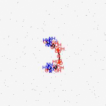 C[n+]1cn([C@@H]2O[C@H](COP(=O)(O)OCCOCCOP(=O)(O)OC[C@@H]3O[C@H](n4c[n+](C)c5c(=O)[nH]c(N)nc54)C(O)C3O)C(O)C2O)c2nc(N)[nH]c(=O)c21